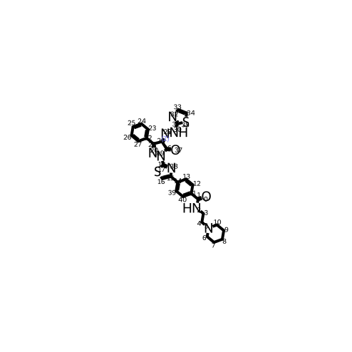 O=C(NCCN1CCCCC1)c1ccc(-c2csc(N3N=C(c4ccccc4)/C(=N/Nc4nccs4)C3=O)n2)cc1